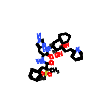 CC(C)(C)S(=O)(=O)[C@@](C)(Cc1ccccc1)C(=O)NC(Cc1c[nH]cn1)C(=O)N[C@@H](CC1CCCCC1)[C@@H](O)[C@@H](O)CCc1ccccn1